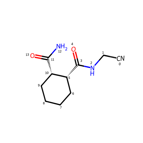 N#CCNC(=O)[C@@H]1CCCC[C@@H]1C(N)=O